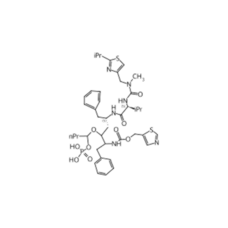 CCCC(OC(C[C@H](Cc1ccccc1)NC(=O)[C@@H](NC(=O)N(C)Cc1csc(C(C)C)n1)C(C)C)C(Cc1ccccc1)NC(=O)OCc1cncs1)OP(=O)(O)O